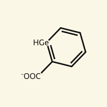 O=C([O-])[C]1=[GeH][CH]=CC=C1